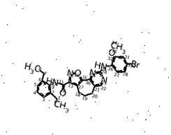 CCc1cccc(CC)c1NC(=O)c1noc2c1CCCc1cnc(Nc3ccc(Br)cc3OC)nc1-2